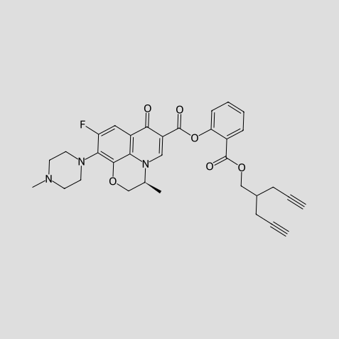 C#CCC(CC#C)COC(=O)c1ccccc1OC(=O)c1cn2c3c(c(N4CCN(C)CC4)c(F)cc3c1=O)OC[C@@H]2C